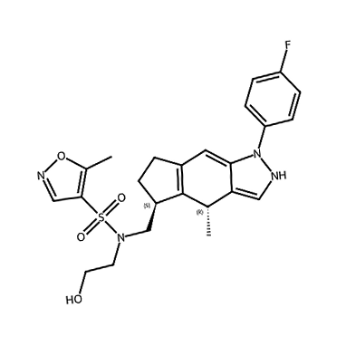 Cc1oncc1S(=O)(=O)N(CCO)C[C@H]1CCC2=C1[C@@H](C)C1=CNN(c3ccc(F)cc3)C1=C2